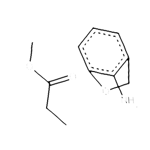 CCC(=O)OC.Nc1c2cccc1OC2